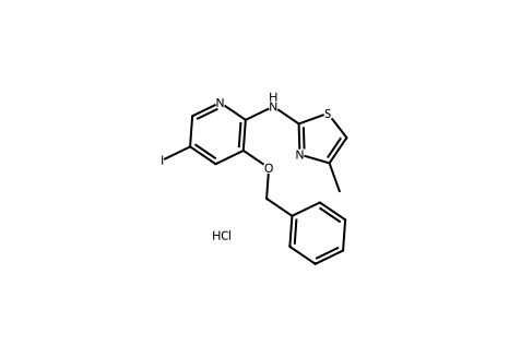 Cc1csc(Nc2ncc(I)cc2OCc2ccccc2)n1.Cl